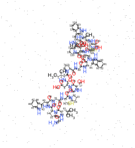 CC[C@H](C)[C@H](NC(=O)[C@H](CC(=O)O)NC(=O)[C@H](CO)NC(=O)[C@@H]1CCCN1C(=O)[C@H](CS)NC(=O)CNC(=O)[C@H](Cc1c[nH]c2ccccc12)NC(=O)[C@@H]1CCCN1C(=O)[C@H](CC(C)C)NC(=O)CN)C(=O)N1CCC[C@H]1C(=O)NCC(=O)N[C@@H](Cc1c[nH]c2ccccc12)C(=O)N[C@@H](CC(N)=O)C(=O)N[C@H](C(=O)N1CCC[C@H]1C(=O)N[C@@H](Cc1c[nH]c2ccccc12)C(=O)N[C@@H](C)C(=O)N[C@@H](CS)C(=O)O)[C@@H](C)O